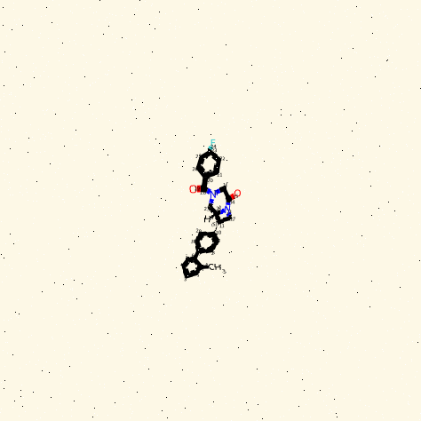 Cc1ccccc1-c1ccc([C@H]2CN3C(=O)CN(C(=O)c4ccc(F)cc4)C[C@@H]23)cc1